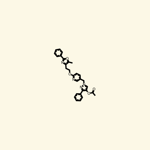 CC(=O)Oc1cn(Cc2ccc(OCCc3nc(-c4ccccc4)oc3C)nc2)nc1-c1ccccc1